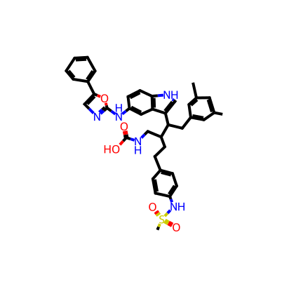 Cc1cc(C)cc(CC(c2c[nH]c3ccc(Nc4ncc(-c5ccccc5)o4)cc23)C(CCc2ccc(NS(C)(=O)=O)cc2)CNC(=O)O)c1